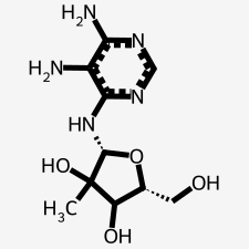 CC1(O)C(O)[C@@H](CO)O[C@H]1Nc1ncnc(N)c1N